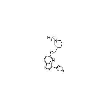 CN1CCCC(COc2ccc3ncc(-c4ccsc4)n3n2)C1